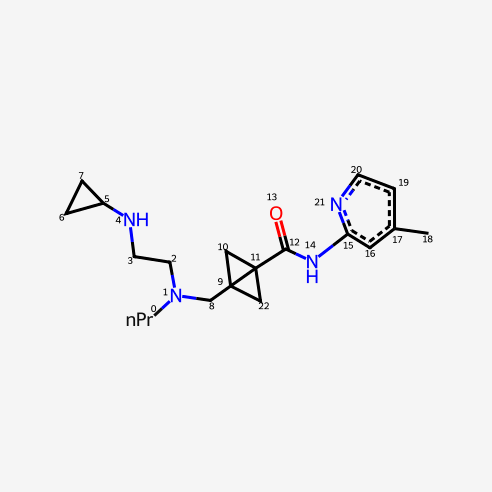 CCCN(CCNC1CC1)CC12CC1(C(=O)Nc1cc(C)ccn1)C2